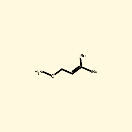 CCC(C)C(=CCO[SiH3])C(C)CC